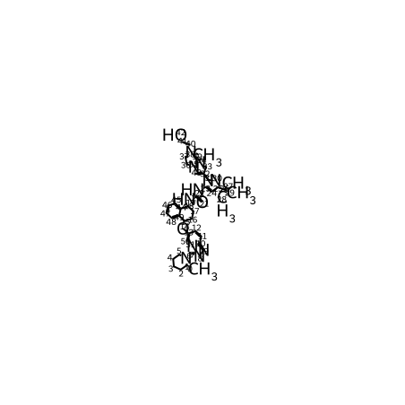 C[C@H]1CCCCN1c1nnc2ccc(O[C@@H]3CC[C@H](NC(=O)Nc4cc(C(C)(C)C)nn4-c4cnn(CCN(C)CCO)c4)c4ccccc43)cn12